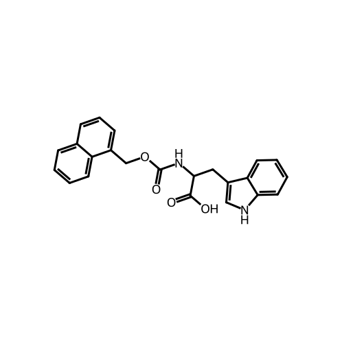 O=C(NC(Cc1c[nH]c2ccccc12)C(=O)O)OCc1cccc2ccccc12